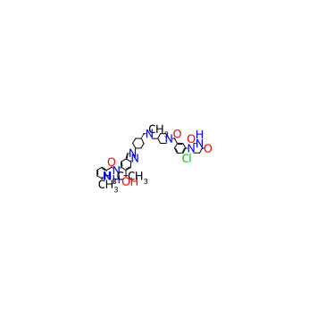 Cc1cccc(C(=O)Nc2cc3cn([C@H]4CC[C@H](CN(C)CC5CCN(C(=O)c6ccc(Cl)c(N7CCC(=O)NC7=O)c6)CC5)CC4)nc3cc2C(C)(C)O)n1